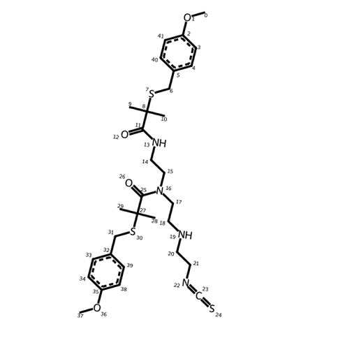 COc1ccc(CSC(C)(C)C(=O)NCCN(CCNCCN=C=S)C(=O)C(C)(C)SCc2ccc(OC)cc2)cc1